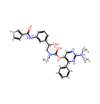 CN(CC(O)c1cccc(NC(=O)c2ccsc2)c1)C(=O)Oc1cnc(N(C)C)nc1-c1ccccc1